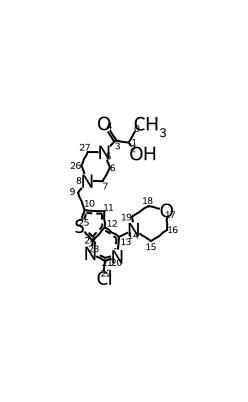 CC(O)C(=O)N1CCN(Cc2cc3c(N4CCOCC4)nc(Cl)nc3s2)CC1